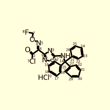 Cl.O=C(Cl)C(=NOCF)c1nsc(NC(c2ccccc2)(c2ccccc2)c2ccccc2)n1